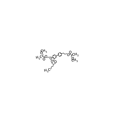 C=C(COC)C(=O)OCCCc1ccc(-c2ccc(OCCOC(=O)C(=C)COC)c(C3OCC(CCCC)CO3)c2)cc1